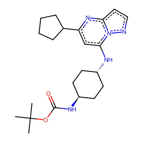 CC(C)(C)OC(=O)N[C@H]1CC[C@H](Nc2cc(C3CCCC3)nc3ccnn23)CC1